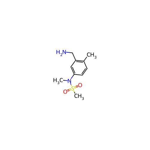 Cc1ccc(N(C)S(C)(=O)=O)cc1CN